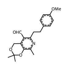 COc1ccc(CCc2nc(C)c3c(c2C=O)COC(C)(C)O3)cc1